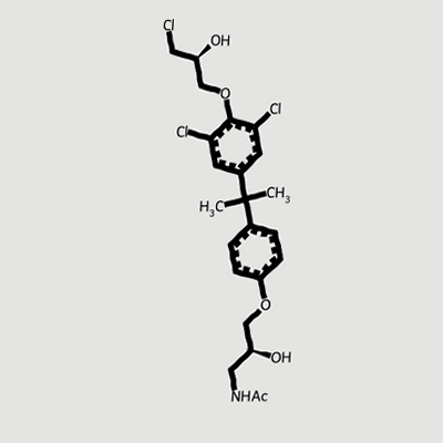 CC(=O)NC[C@H](O)COc1ccc(C(C)(C)c2cc(Cl)c(OC[C@H](O)CCl)c(Cl)c2)cc1